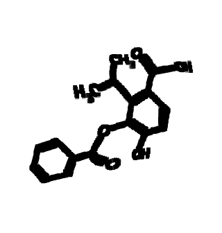 CC(C)c1c(C(=O)O)ccc(O)c1OC(=O)c1ccccc1